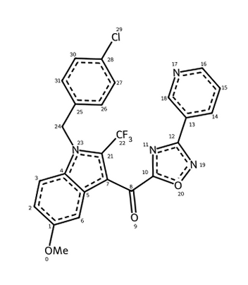 COc1ccc2c(c1)c(C(=O)c1nc(-c3cccnc3)no1)c(C(F)(F)F)n2Cc1ccc(Cl)cc1